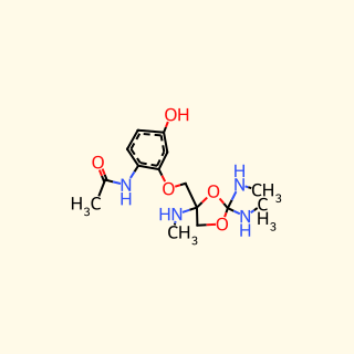 CNC1(COc2cc(O)ccc2NC(C)=O)COC(NC)(NC)O1